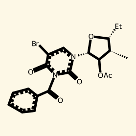 CC[C@H]1O[C@@H](n2cc(Br)c(=O)n(C(=O)c3ccccc3)c2=O)C(OC(C)=O)[C@H]1C